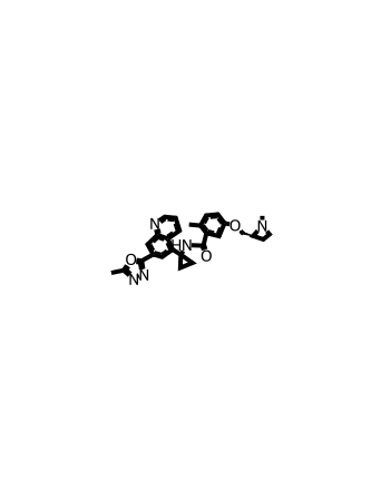 Cc1nnc(-c2cc(C3(NC(=O)c4cc(OC[C@@H]5CCN5C)ccc4C)CC3)c3cccnc3c2)o1